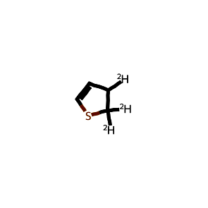 [2H]C1C=CSC1([2H])[2H]